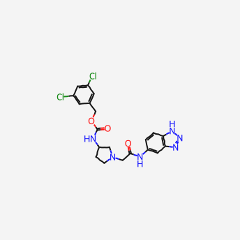 O=C(CN1CCC(NC(=O)OCc2cc(Cl)cc(Cl)c2)C1)Nc1ccc2[nH]nnc2c1